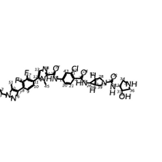 COCCn1ncc(-c2ccc(-c3cnc(C(=O)Nc4ccc(C(=O)NC5[C@H]6CN(C(=O)N[C@@H]7CNC[C@H]7O)C[C@@H]56)c(Cl)c4)n3C)c(F)c2F)c1C